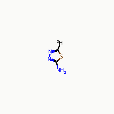 [3H]c1nnc(N)s1